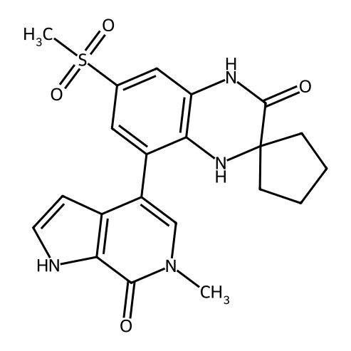 Cn1cc(-c2cc(S(C)(=O)=O)cc3c2NC2(CCCC2)C(=O)N3)c2cc[nH]c2c1=O